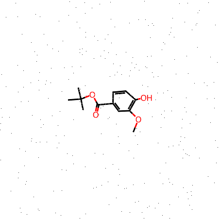 COc1cc(C(=O)OC(C)(C)C)ccc1O